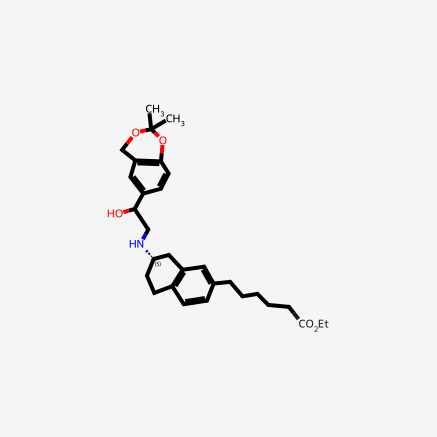 CCOC(=O)CCCCCc1ccc2c(c1)C[C@@H](NCC(O)c1ccc3c(c1)COC(C)(C)O3)CC2